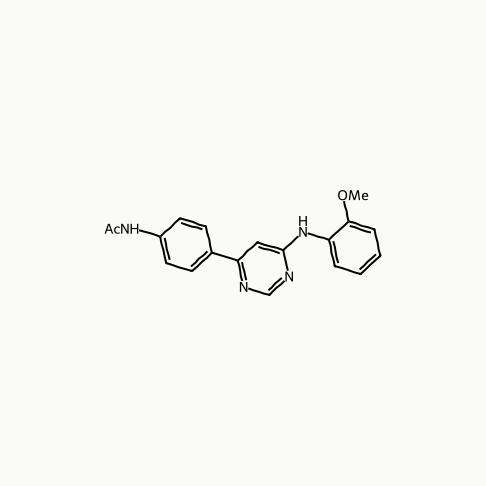 COc1ccccc1Nc1cc(-c2ccc(NC(C)=O)cc2)ncn1